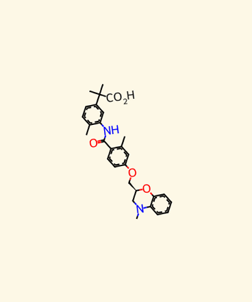 Cc1ccc(C(C)(C)C(=O)O)cc1NC(=O)c1ccc(OC[C@@H]2CN(C)c3ccccc3O2)cc1C